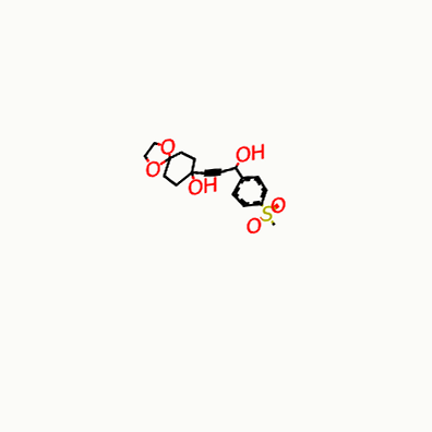 CS(=O)(=O)c1ccc(C(O)C#CC2(O)CCC3(CC2)OCCO3)cc1